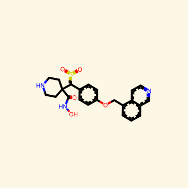 O=C(NO)C1(C(c2ccc(OCc3cccc4cnccc34)cc2)=S(=O)=O)CCNCC1